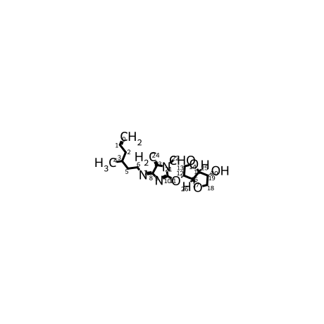 C=CCC(C)CC/N=C1/N=C(O[C@@H]2CO[C@H]3[C@@H]2OC[C@H]3O)N(C=O)C1=C